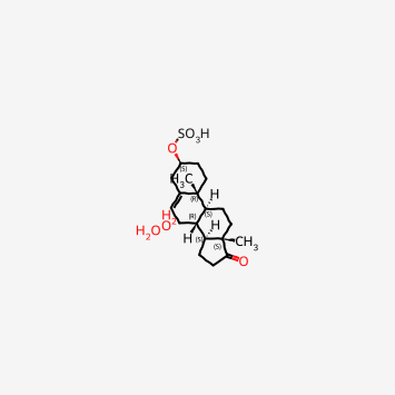 C[C@]12CC[C@H](OS(=O)(=O)O)CC1=CC[C@@H]1[C@@H]2CC[C@]2(C)C(=O)CC[C@@H]12.O.O